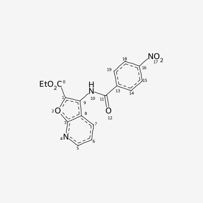 CCOC(=O)c1oc2ncccc2c1NC(=O)c1ccc([N+](=O)[O-])cc1